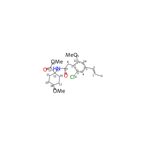 C/C=C/c1cc(Cl)c(CC(=O)NC2(C(=O)OC)CCC(OC)CC2)c(OC)c1